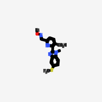 CCO/N=C/c1ccc(C(=O)O)c(-c2nc3cc(SC(F)(F)F)ccc3n2C)n1